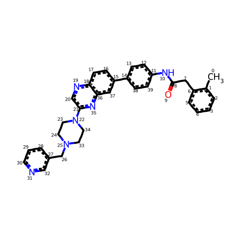 Cc1ccccc1CC(=O)Nc1ccc(-c2ccc3ncc(N4CCN(Cc5cccnc5)CC4)nc3c2)cc1